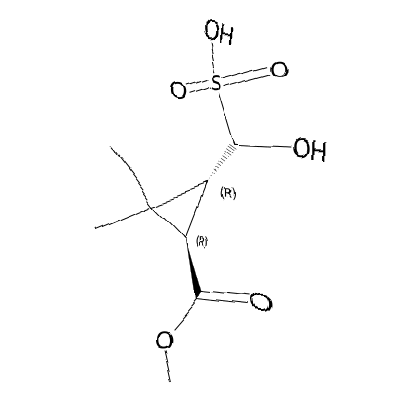 COC(=O)[C@@H]1[C@@H](C(O)S(=O)(=O)O)C1(C)C